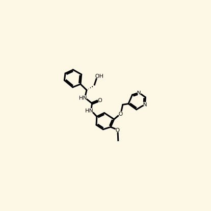 COc1ccc(NC(=O)N[C@@H](CO)c2ccccc2)cc1OCc1cncnc1